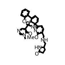 COc1nc(C2(NC(=O)c3cncn(C)c3=O)C=CC=C(c3ccccc3Cl)[C@@H]2Cl)ccc1CNCC1CCC(=O)N1